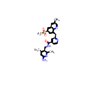 Cc1cnc2c(Cc3cc(C(=O)NCc4c(C)cc(N)nc4C)ccn3)cc(S(C)(=O)=O)cc2c1